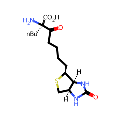 CCCC[C@](N)(C(=O)O)C(=O)CCCC[C@@H]1SC[C@@H]2NC(=O)N[C@@H]21